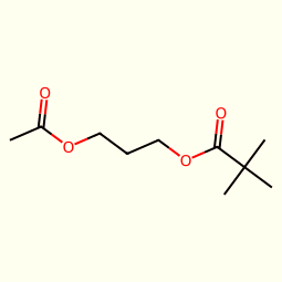 CC(=O)OCCCOC(=O)C(C)(C)C